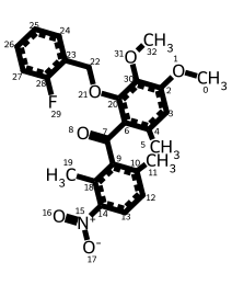 COc1cc(C)c(C(=O)c2c(C)ccc([N+](=O)[O-])c2C)c(OCc2ccccc2F)c1OC